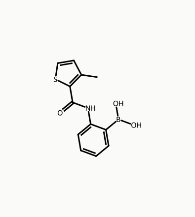 Cc1ccsc1C(=O)Nc1ccccc1B(O)O